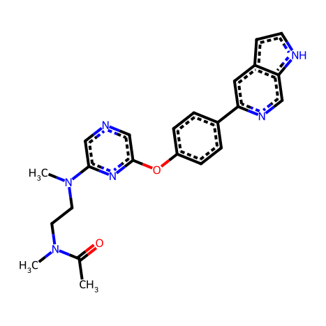 CC(=O)N(C)CCN(C)c1cncc(Oc2ccc(-c3cc4cc[nH]c4cn3)cc2)n1